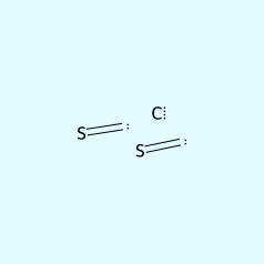 [C].[C]=S.[C]=S